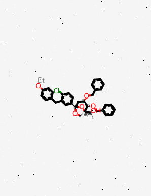 CCOc1ccc(Cc2cc([C@]34C[C@@H](OCc5ccccc5)[C@H](OCc5ccccc5)[C@]([C@@H](C)O)(CO3)O4)ccc2Cl)cc1